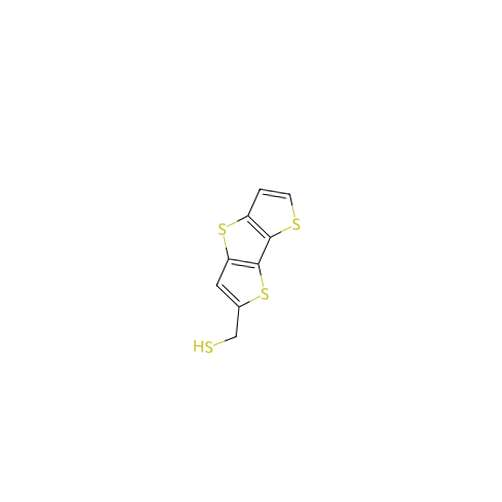 SCc1cc2sc3ccsc3c2s1